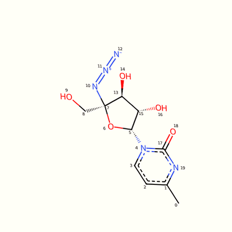 Cc1ccn([C@@H]2O[C@@](CO)(N=[N+]=[N-])[C@@H](O)[C@@H]2O)c(=O)n1